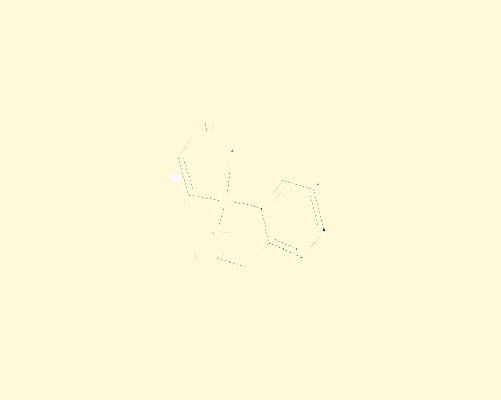 C/C=C\[Si](C)(C)c1ccccc1CO